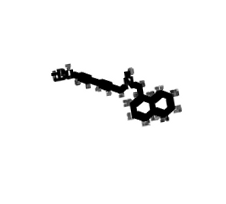 CN(CC#CC#CC(C)(C)C)Cc1cccc2ccccc12